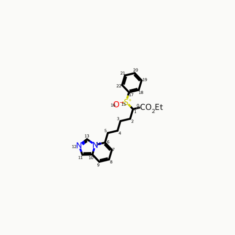 CCOC(=O)C(CCCCc1cccc2cncn12)[S+]([O-])c1ccccc1